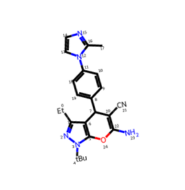 CCc1nn(C(C)(C)C)c2c1C(c1ccc(-n3ccnc3C)cc1)C(C#N)=C(N)O2